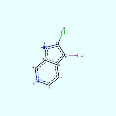 Clc1[nH]c2cnccc2c1I